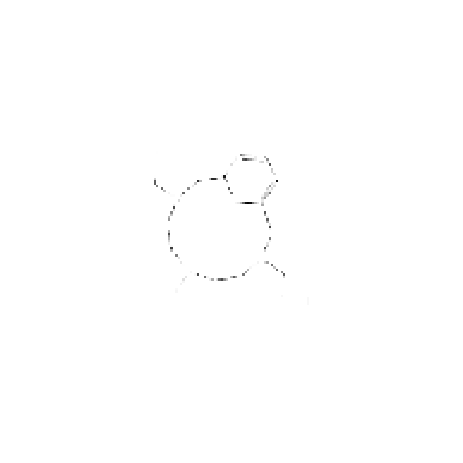 CN1CCN(CC(=O)O)CC2=CC=CC(CN(CC(=O)O)CC1)N2